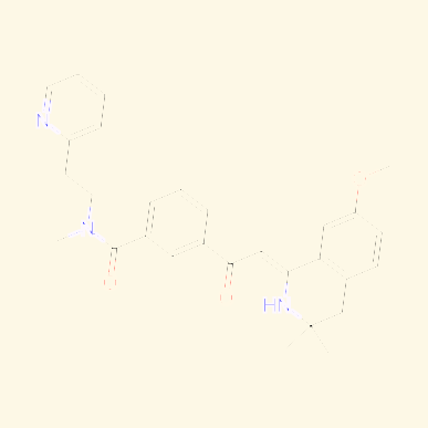 COc1ccc2c(c1)/C(=C/C(=O)c1cccc(C(=O)N(C)CCc3ccccn3)c1)NC(C)(C)C2